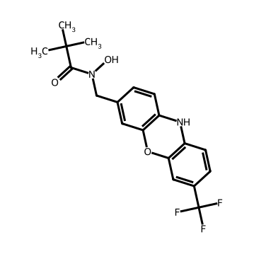 CC(C)(C)C(=O)N(O)Cc1ccc2c(c1)Oc1cc(C(F)(F)F)ccc1N2